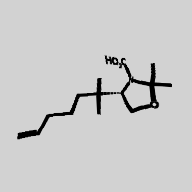 C=CCCCC(C)(C)[C@H]1COC(C)(C)N1C(=O)O